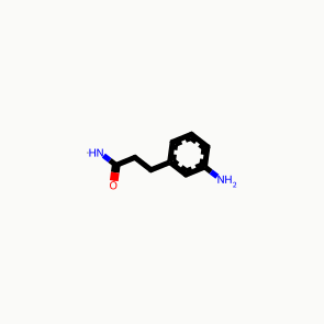 [NH]C(=O)CCc1cccc(N)c1